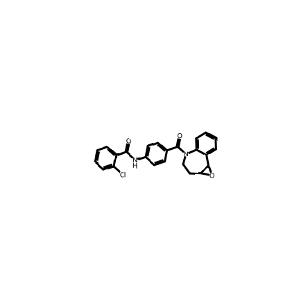 O=C(Nc1ccc(C(=O)N2CCC3OC3c3ccccc32)cc1)c1ccccc1Cl